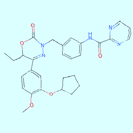 CCC1OC(=O)N(Cc2cccc(NC(=O)c3ncccn3)c2)N=C1c1ccc(OC)c(OC2CCCC2)c1